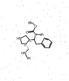 CC(C)NC[C@@H]1CNC[C@H]1C(Cc1ccccc1)N(C(=O)OC(C)(C)C)C(C)C